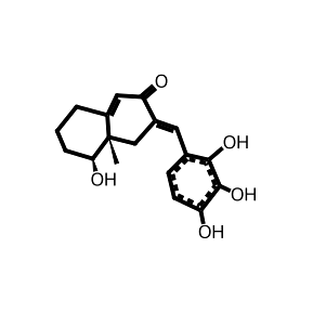 C[C@]12CC(=Cc3ccc(O)c(O)c3O)C(=O)C=C1CCC[C@@H]2O